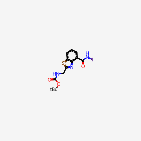 CC(C)(C)OC(=O)NCc1nc2c(C(=O)NI)cccc2s1